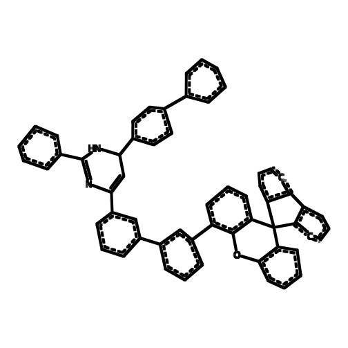 C1=C(c2cccc(-c3cccc(-c4cccc5c4Oc4ccccc4C54c5ccccc5-c5ccccc54)c3)c2)N=C(c2ccccc2)NC1c1ccc(-c2ccccc2)cc1